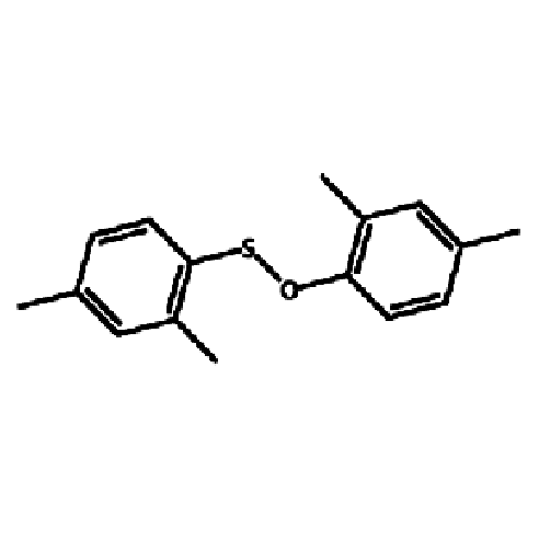 Cc1ccc(OSc2ccc(C)cc2C)c(C)c1